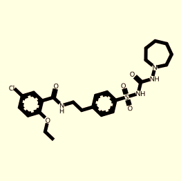 CCOc1ccc(Cl)cc1C(=O)NCCc1ccc(S(=O)(=O)NC(=O)NN2CCCCCC2)cc1